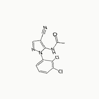 CC(=O)Nc1c(C#N)cnn1-c1cccc(Cl)c1Cl